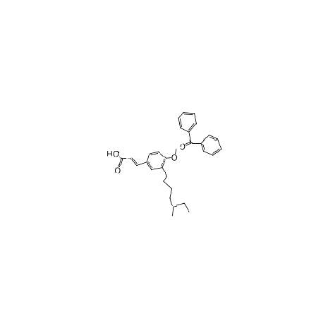 CCC(C)CCCCc1cc(C=CC(=O)O)ccc1OC.O=C(c1ccccc1)c1ccccc1